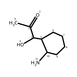 CC(=O)C(O)C1CCCCC1N